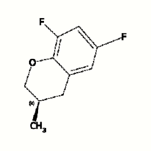 C[C@H]1COc2c(F)cc(F)cc2C1